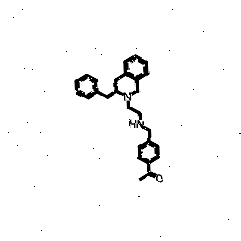 CC(=O)c1ccc(CNCCN2Cc3ccccc3CC2Cc2ccccc2)cc1